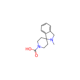 CN1Cc2ccccc2C12CCN(C(=O)O)CC2